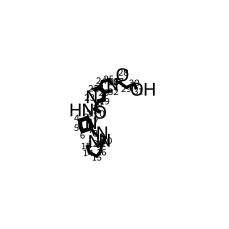 O=C(Nc1cccc(-c2nnc3n2CCCC3)n1)c1cc2c(cn1)CCN(C(=O)CCO)C2